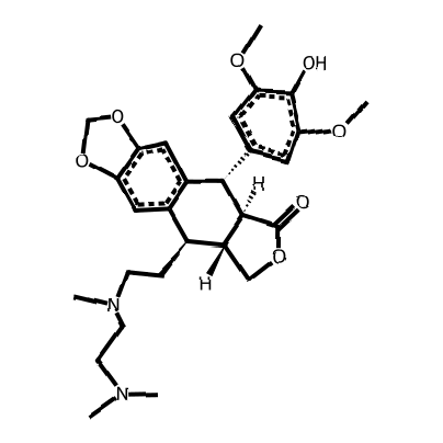 COc1cc([C@H]2c3cc4c(cc3[C@H](CCN(C)CCN(C)C)[C@H]3COC(=O)[C@H]23)OCO4)cc(OC)c1O